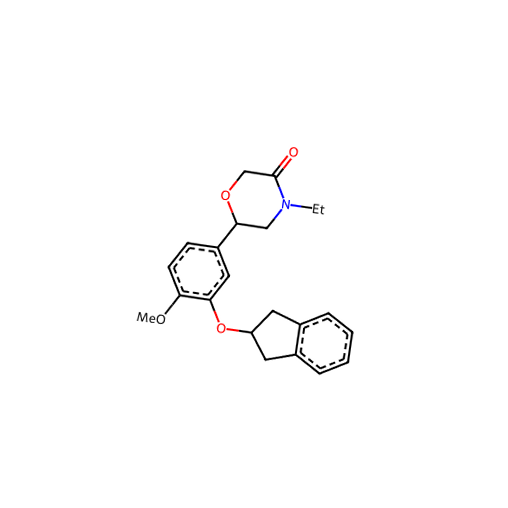 CCN1CC(c2ccc(OC)c(OC3Cc4ccccc4C3)c2)OCC1=O